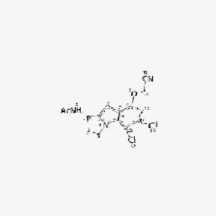 CC(=O)N[C@H]1CCn2c1cc1c(OCC#N)cc(Cl)c(Cl)c12